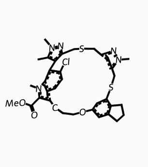 COC(=O)c1c2c3ccc(Cl)c(c3n1C)-c1c(nn(C)c1C)CSCc1cc(n(C)n1)CSc1cc(cc3c1CCC3)OCCC2